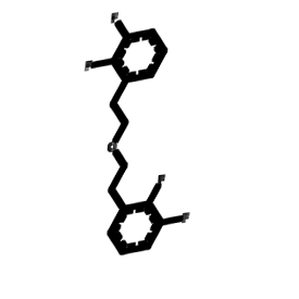 Fc1cccc(CCOCCc2cccc(F)c2F)c1F